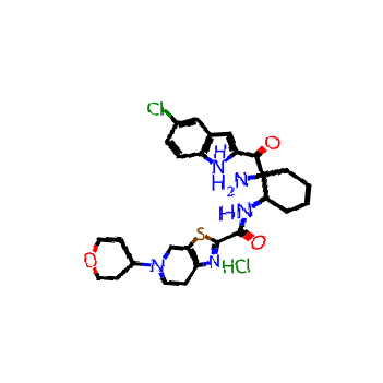 Cl.NC1(C(=O)c2cc3cc(Cl)ccc3[nH]2)CCCCC1NC(=O)c1nc2c(s1)CN(C1CCOCC1)CC2